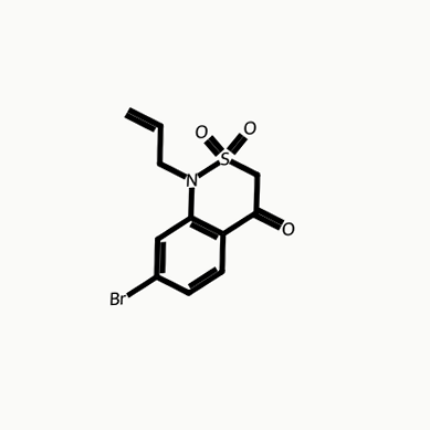 C=CCN1c2cc(Br)ccc2C(=O)CS1(=O)=O